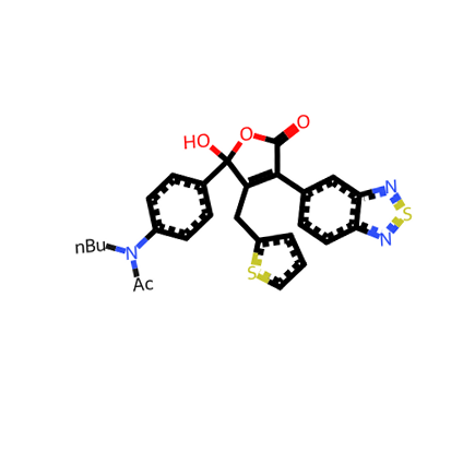 CCCCN(C(C)=O)c1ccc(C2(O)OC(=O)C(c3ccc4nsnc4c3)=C2Cc2cccs2)cc1